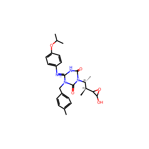 Cc1ccc(Cn2c(=O)n([C@H](C)[C@H](C)C3OC3O)c(=O)[nH]/c2=N\c2ccc(OC(C)C)cc2)cc1